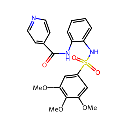 COc1cc(S(=O)(=O)Nc2ccccc2NC(=O)c2ccncc2)cc(OC)c1OC